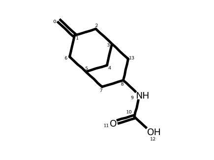 C=C1CC2CC(C1)CC(NC(=O)O)C2